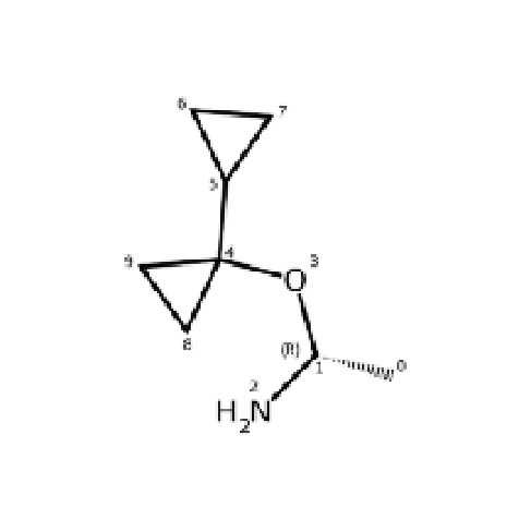 C[C@H](N)OC1(C2CC2)CC1